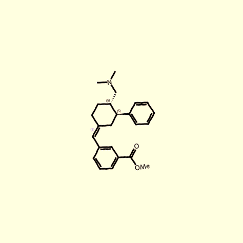 COC(=O)c1cccc(/C=C2/CC[C@H](CN(C)C)[C@@H](c3ccccc3)C2)c1